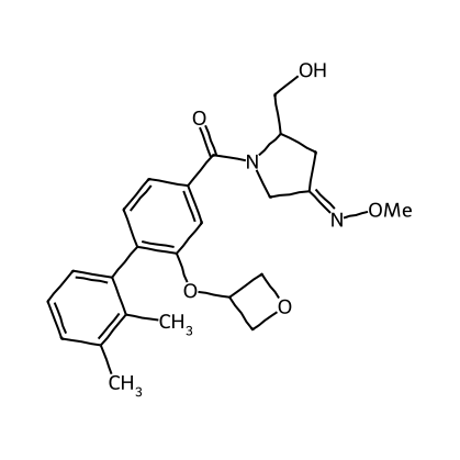 CO/N=C1\CC(CO)N(C(=O)c2ccc(-c3cccc(C)c3C)c(OC3COC3)c2)C1